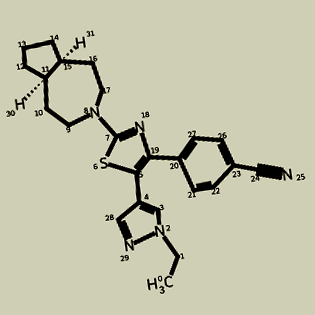 CCn1cc(-c2sc(N3CC[C@H]4CCC[C@H]4CC3)nc2-c2ccc(C#N)cc2)cn1